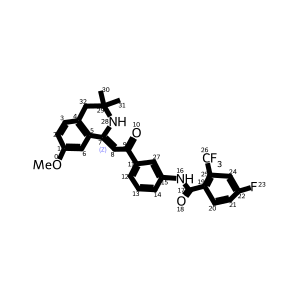 COc1ccc2c(c1)/C(=C/C(=O)c1cccc(NC(=O)c3ccc(F)cc3C(F)(F)F)c1)NC(C)(C)C2